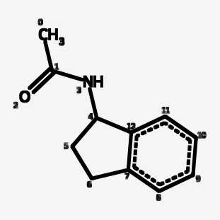 CC(=O)NC1CCc2ccccc21